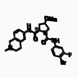 COC1C[C@H](C(=O)Nc2ccc3c(c2)CCN(C)C3)N(C(=O)Nc2ccc(Br)c(F)c2)C1